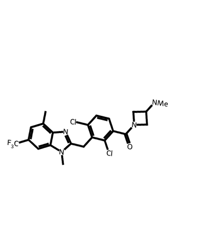 CNC1CN(C(=O)c2ccc(Cl)c(Cc3nc4c(C)cc(C(F)(F)F)cc4n3C)c2Cl)C1